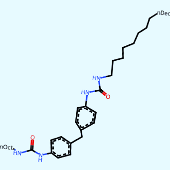 CCCCCCCCCCCCCCCCCCNC(=O)Nc1ccc(Cc2ccc(NC(=O)NCCCCCCCC)cc2)cc1